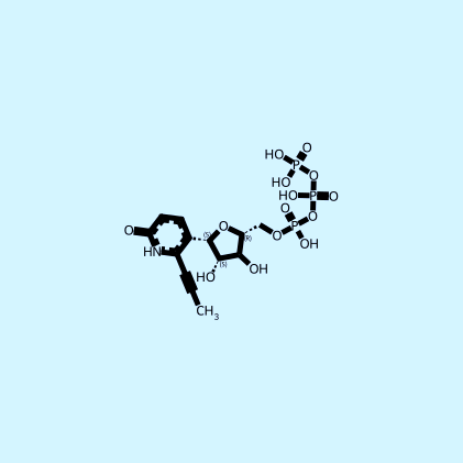 CC#Cc1[nH]c(=O)ccc1[C@@H]1O[C@H](COP(=O)(O)OP(=O)(O)OP(=O)(O)O)C(O)[C@@H]1O